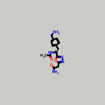 CC(=O)N[C@@H](Cc1ccc(CN)cc1)c1nnc(CC(N)=O)o1